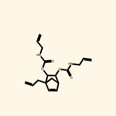 C=CCNC(=O)OC1C2C=CC(CC=C)(C2)C1OC(=O)NCC=C